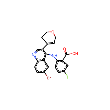 O=C(O)c1cc(F)ccc1Nc1c(C2=CCOCC2)cnc2ccc(Br)cc12